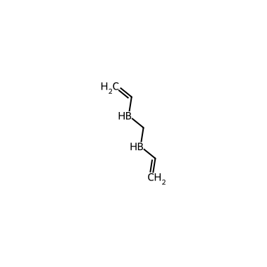 C=CBCBC=C